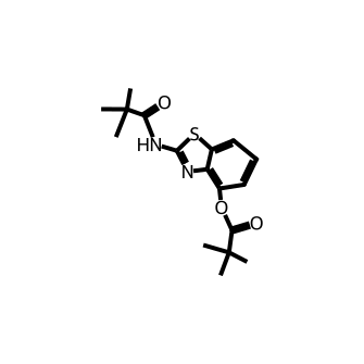 CC(C)(C)C(=O)Nc1nc2c(OC(=O)C(C)(C)C)cccc2s1